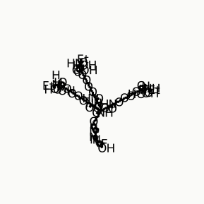 CCC(=O)N[C@H]1[C@H]2OC[C@](COCCOCCOCCOCCNC(=O)CCOCC(COCCC(=O)NCCOCCOCCOCCOC[C@@]34CO[C@@H](O3)[C@H](NC(=O)CC)[C@@H](O)[C@H]4O)(COCCC(=O)NCCOCCOCCOCCOC[C@@]34OO[C@@H](O3)[C@H](NC(=O)CC)[C@@H](O)[C@H]4O)NC(=O)CCCOc3ccc4nc(-c5cn(-c6ccc(O)c(F)c6)nn5)ccc4c3)(O2)[C@H](O)[C@@H]1O